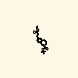 CCOC(=O)CCc1ccc2c(c1)CCCN(C(=O)OC(C)(C)C)C2